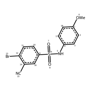 COc1ccc(NS(=O)(=O)c2ccc(Br)c(C#N)c2)cc1